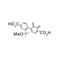 C=c1c(C(=O)O)ccc(-c2ccc(C(=O)O)cc2C(C)(C)OC)c1=C